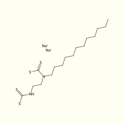 CCCCCCCCCCCCN(CCNC(=S)[S-])C(=S)[S-].[Na+].[Na+]